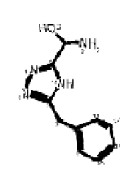 NC(O)c1nnc(Cc2ccccc2)[nH]1